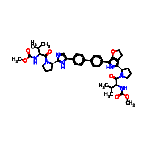 COC(=O)N[C@H](C(=O)N1CCC[C@H]1c1ncc(-c2ccc(-c3ccc(-c4[nH]c([C@@H]5CCCN5C(=O)[C@@H](NC(=O)OC)C(C)C)c5c4OCC5)cc3)cc2)[nH]1)C(C)C